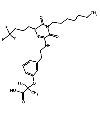 CCCCCCCn1c(=O)c(NCCc2cccc(OC(C)(C)C(=O)O)c2)nn(CCCC(F)(F)F)c1=O